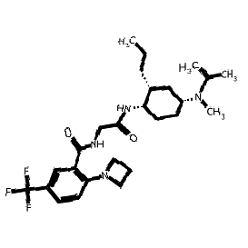 CCC[C@@H]1C[C@H](N(C)C(C)C)CC[C@@H]1NC(=O)CNC(=O)c1cc(C(F)(F)F)ccc1N1CCC1